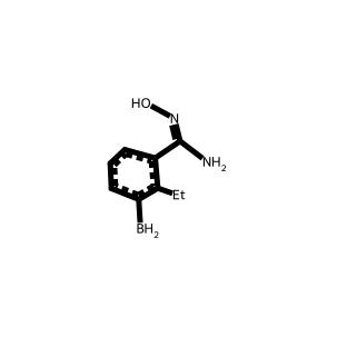 Bc1cccc(/C(N)=N\O)c1CC